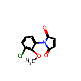 COc1c(Cl)cccc1N1C(=O)C=CC1=O